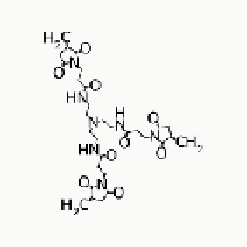 C=C1CC(=O)N(CCC(=O)NCCN(CCNC(=O)CCN2C(=O)CC(=C)C2=O)CCNC(=O)CCN2C(=O)CC(=C)C2=O)C1=O